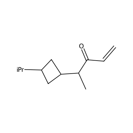 C=CC(=O)C(C)C1CC(C(C)C)C1